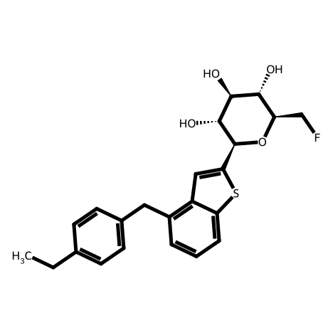 CCc1ccc(Cc2cccc3sc([C@@H]4O[C@H](CF)[C@@H](O)[C@H](O)[C@H]4O)cc23)cc1